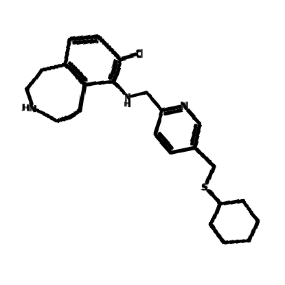 Clc1ccc2c(c1NCc1ccc(CSC3CCCCC3)cn1)CCNCC2